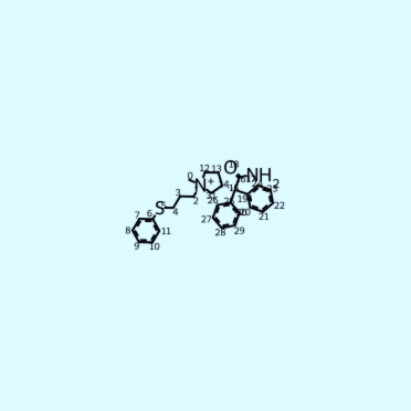 C[N+]1(CCCSc2ccccc2)CC[C@H](C(C(N)=O)(c2ccccc2)c2ccccc2)C1